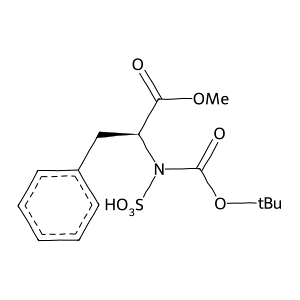 COC(=O)[C@H](Cc1ccccc1)N(C(=O)OC(C)(C)C)S(=O)(=O)O